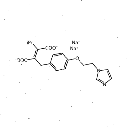 CC(C)C(C(=O)[O-])=C(Cc1ccc(OCCn2ccnc2)cc1)C(=O)[O-].[Na+].[Na+]